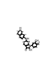 CCn1c(=O)c2cnc(Nc3ccc4c(c3)CNCC4)nc2n1-c1ccc(F)c(C)c1